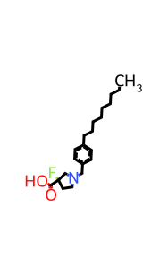 CCCCCCCCCc1ccc(CN2CCC(F)(C(=O)O)C2)cc1